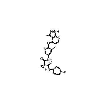 Cc1cc(NC(=O)C2(C(=O)Nc3ccc(F)cc3)CC2)cnc1Oc1ccnc2[nH]nc(C)c12